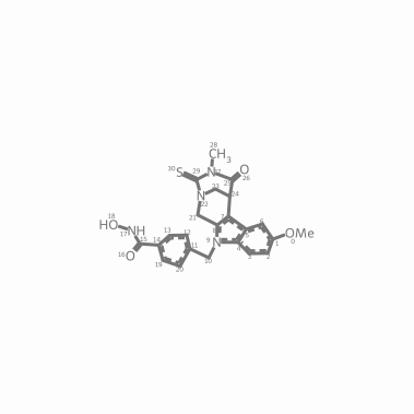 COc1ccc2c(c1)c1c(n2Cc2ccc(C(=O)NO)cc2)CN2CC1C(=O)N(C)C2=S